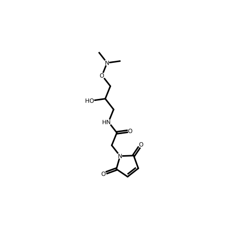 CN(C)OCC(O)CNC(=O)CN1C(=O)C=CC1=O